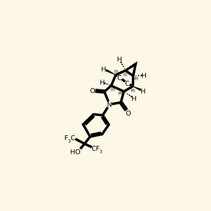 O=C1[C@@H]2[C@@H]3CC[C@@H]([C@H]4C[C@H]43)[C@@H]2C(=O)N1c1ccc(C(O)(C(F)(F)F)C(F)(F)F)cc1